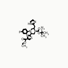 CCOC(=O)c1csc(C2CN(C(=O)OC(C)(C)C)C(Cc3ncc[nH]3)CN2c2ccc(F)cc2)n1